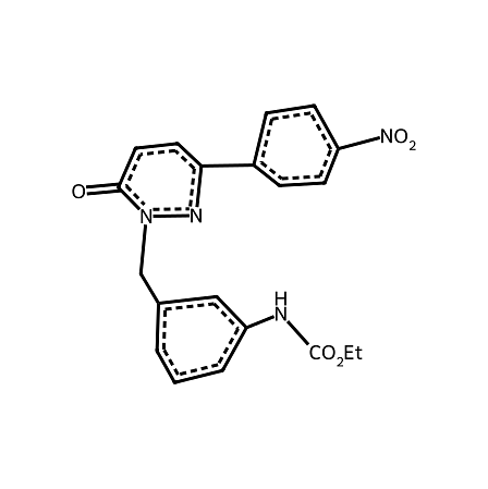 CCOC(=O)Nc1cccc(Cn2nc(-c3ccc([N+](=O)[O-])cc3)ccc2=O)c1